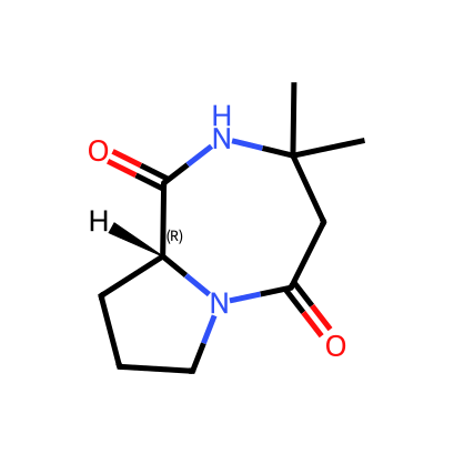 CC1(C)CC(=O)N2CCC[C@@H]2C(=O)N1